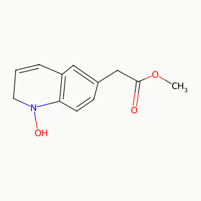 COC(=O)Cc1ccc2c(c1)C=CCN2O